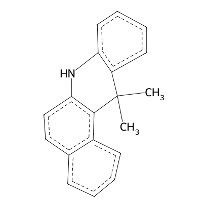 CC1(C)c2ccccc2Nc2ccc3ccccc3c21